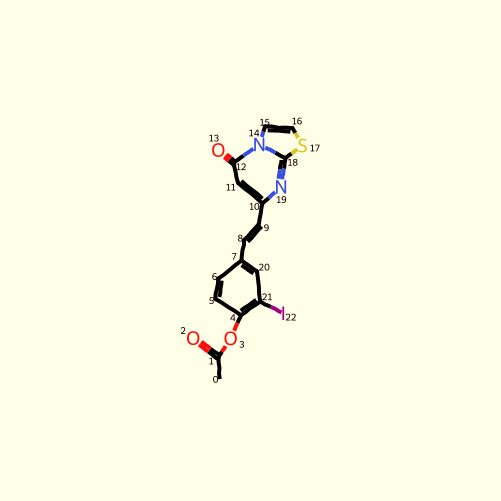 CC(=O)Oc1ccc(/C=C/c2cc(=O)n3ccsc3n2)cc1I